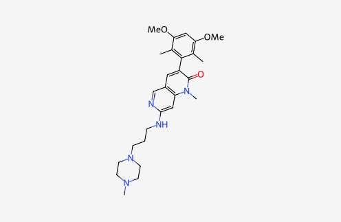 COc1cc(OC)c(C)c(-c2cc3cnc(NCCCN4CCN(C)CC4)cc3n(C)c2=O)c1C